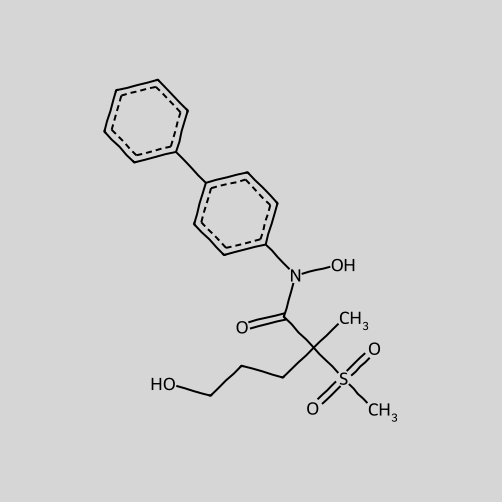 CC(CCCO)(C(=O)N(O)c1ccc(-c2ccccc2)cc1)S(C)(=O)=O